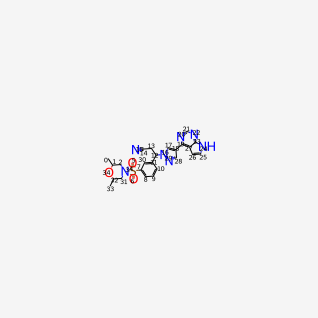 CC1CN(S(=O)(=O)c2cccc(C(CC#N)n3cc(-c4ncnc5[nH]ccc45)cn3)c2)CC(C)O1